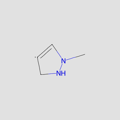 CN1C=[C]CN1